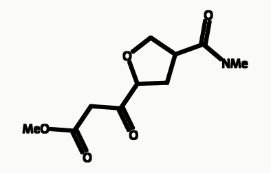 CNC(=O)C1COC(C(=O)CC(=O)OC)C1